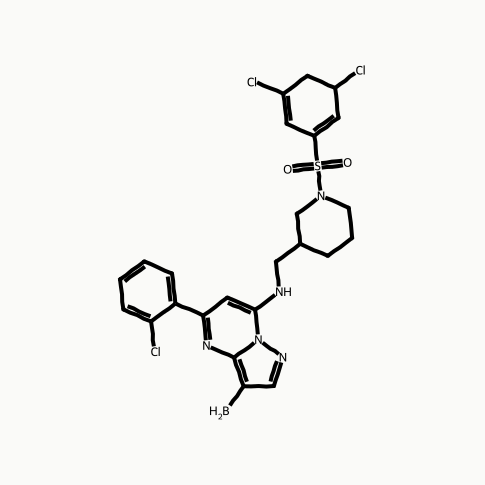 Bc1cnn2c(NCC3CCCN(S(=O)(=O)C4=CC(Cl)CC(Cl)=C4)C3)cc(-c3ccccc3Cl)nc12